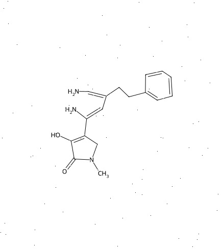 CN1CC(/C(N)=C/C(=C\N)CCc2ccccc2)=C(O)C1=O